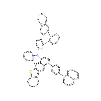 c1cc(-c2ccccc2-c2ccc3ccccc3c2)cc(N(c2ccc(-c3ccc(-c4cccc5ccccc45)cc3)cc2)c2ccccc2-c2cccc3c2sc2ccccc23)c1